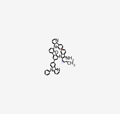 C=C/C=C\c1c(N)c2ccccc2n1-c1cc(-c2ccc3c(c2)c2ncccc2n3-c2ccccc2)cc2c1oc1c(-n3c4ccccc4c4ncccc43)cccc12